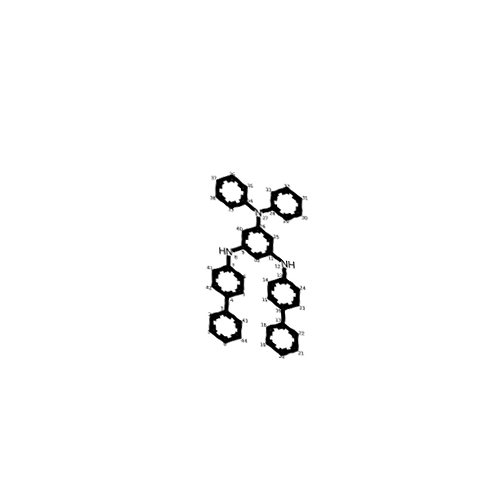 c1ccc(-c2ccc(Nc3cc(Nc4ccc(-c5ccccc5)cc4)cc(N(c4ccccc4)c4ccccc4)c3)cc2)cc1